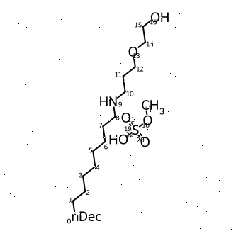 CCCCCCCCCCCCCCCCCCNCCCOCCO.COS(=O)(=O)O